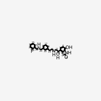 O=c1[nH]c2c(O)ccc(C(O)CNCCc3cccc(CNCc4ccccc4F)c3)c2s1